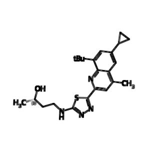 Cc1cc(-c2nnc(NCC[C@H](C)O)s2)nc2c(C(C)(C)C)cc(C3CC3)cc12